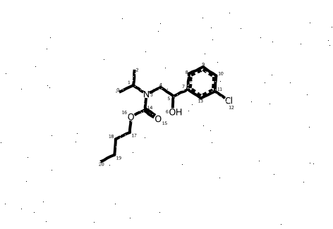 [CH2]C(C)N(CC(O)c1cccc(Cl)c1)C(=O)OCCCC